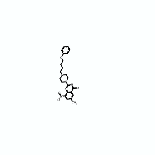 Cc1cc([N+](=O)[O-])c2sc(N3CCN(CCCCOc4ccccc4)CC3)nc(=O)c2c1